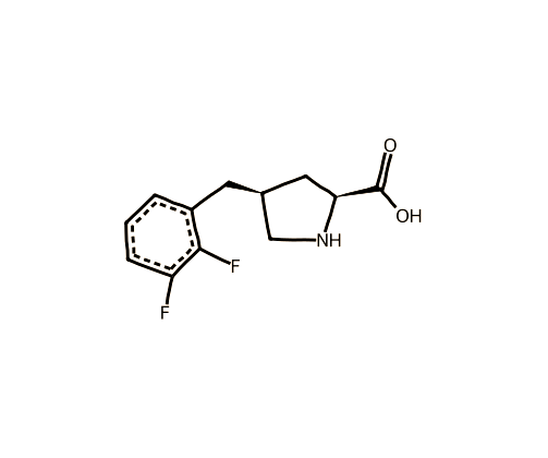 O=C(O)[C@@H]1C[C@H](Cc2cccc(F)c2F)CN1